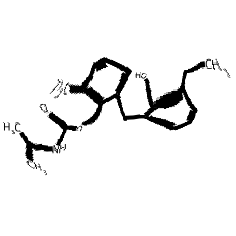 CCc1cccc(Cc2cccc(C)c2OC(=O)NC(C)C)c1O